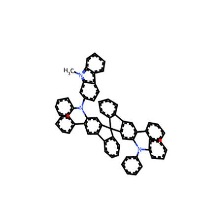 Cn1c2ccccc2c2ccc(N(c3ccccc3)c3cc4c(cc3-c3ccccc3)-c3ccccc3C43c4ccccc4-c4cc(-c5ccccc5)c(N(c5ccccc5)c5ccccc5)cc43)cc21